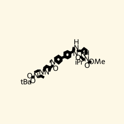 COC(=O)NC(C(=O)N1CCCC1c1nc(-c2ccc(-c3ccc(N(C)C(=O)c4ccc(N5CCN(C(=O)OC(C)(C)C)CC5C)nc4)cc3)cc2)c[nH]1)C(C)C